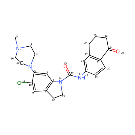 CN1CCN(c2cc3c(cc2Cl)CCN3C(=O)Nc2ccc3c(c2)CCCC3=O)CC1